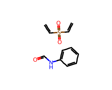 C=CS(=O)(=O)C=C.O=CNc1ccccc1